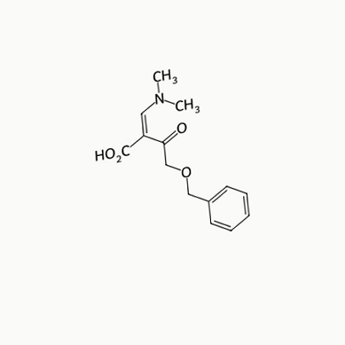 CN(C)/C=C(/C(=O)O)C(=O)COCc1ccccc1